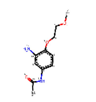 CCOCCOc1ccc(NC(=O)CC)cc1N